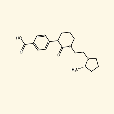 C[C@H]1CCCN1CCN1CCCC(c2ccc(C(=O)O)cc2)C1=O